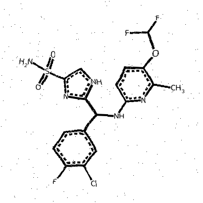 Cc1nc(NC(c2ccc(F)c(Cl)c2)c2nc(S(N)(=O)=O)c[nH]2)ccc1OC(F)F